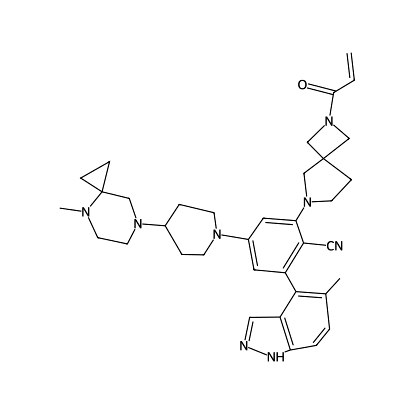 C=CC(=O)N1CC2(CCN(c3cc(N4CCC(N5CCN(C)C6(CC6)C5)CC4)cc(-c4c(C)ccc5[nH]ncc45)c3C#N)C2)C1